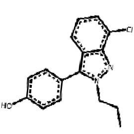 CCCn1nc2c(Cl)cccc2c1-c1ccc(O)cc1